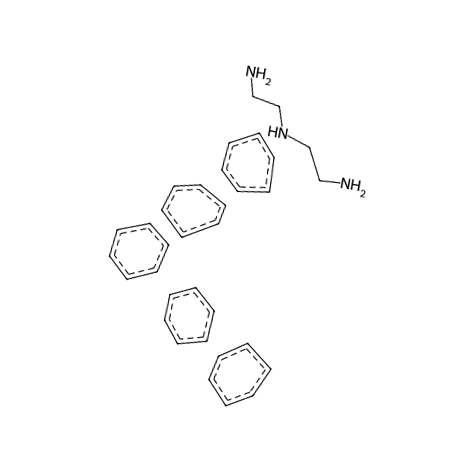 NCCNCCN.c1ccccc1.c1ccccc1.c1ccccc1.c1ccccc1.c1ccccc1